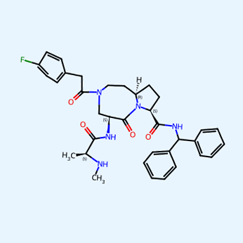 CN[C@@H](C)C(=O)N[C@H]1CN(C(=O)Cc2ccc(F)cc2)CC[C@H]2CC[C@@H](C(=O)NC(c3ccccc3)c3ccccc3)N2C1=O